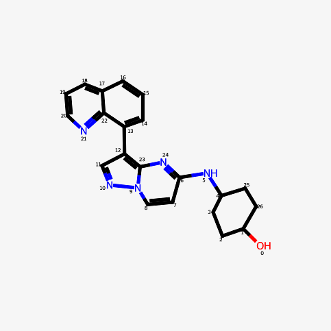 OC1CCC(Nc2ccn3ncc(-c4cccc5cccnc45)c3n2)CC1